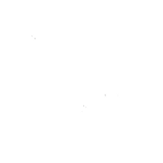 C=C(CCCCCCN)C(N)=O